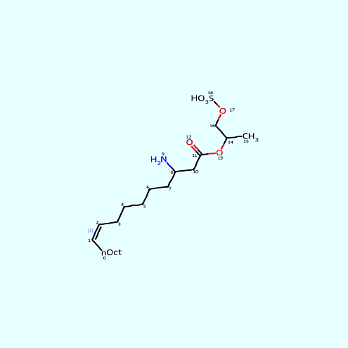 CCCCCCCC/C=C\CCCCCC(N)CC(=O)OC(C)COS(=O)(=O)O